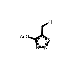 CC(=O)Oc1nnsc1CCl